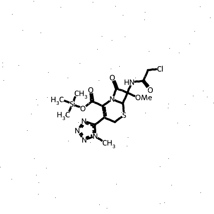 COC1(NC(=O)CCl)C(=O)N2C(C(=O)O[Si](C)(C)C)=C(c3nnnn3C)CSC21